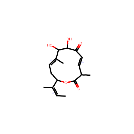 C/C=C(/C)C1C/C=C(\C)C(O)C(O)C(=O)/C=C/C(C)C(=O)O1